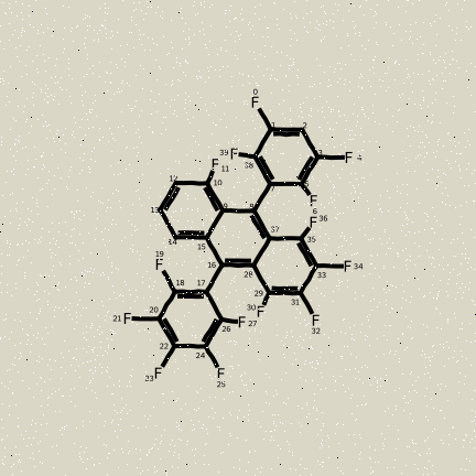 Fc1cc(F)c(F)c(-c2c3c(F)cccc3c(-c3c(F)c(F)c(F)c(F)c3F)c3c(F)c(F)c(F)c(F)c23)c1F